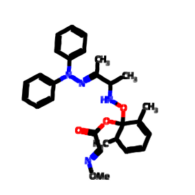 CON=CC(=O)OC1(ONC(C)C(C)=NN(c2ccccc2)c2ccccc2)C(C)=CC=CC1C